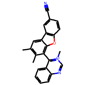 Cc1cc2c(oc3ccc(C#N)cc32)c(-c2c3ccccc3nc[n+]2C)c1C